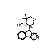 CC1(C)COC[C@@H](C2c3ccccc3-c3cncn32)[C@@H]1O